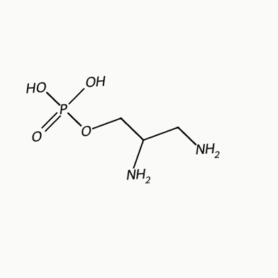 NCC(N)COP(=O)(O)O